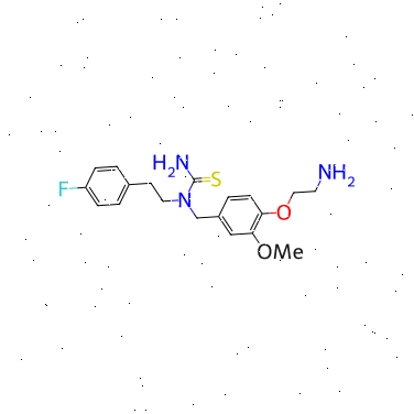 COc1cc(CN(CCc2ccc(F)cc2)C(N)=S)ccc1OCCN